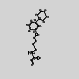 C=CC(=O)NCCCCOc1cccc(C2CCCCC2)c1